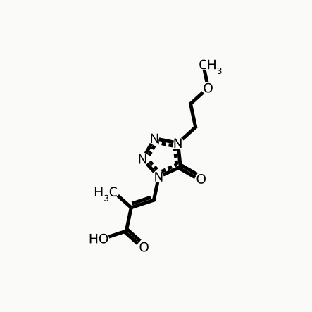 COCCn1nnn(/C=C(\C)C(=O)O)c1=O